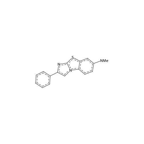 CNc1ccc2c(c1)sc1nc(-c3ccccc3)cn12